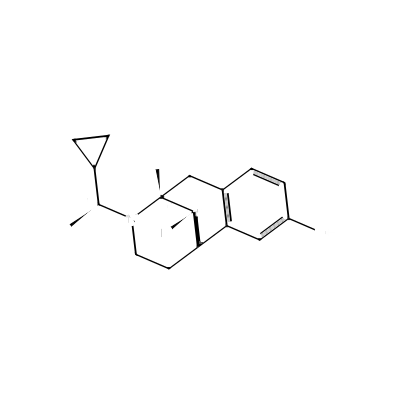 C[C@@H](C1CC1)N1CCC23CCCC[C@H]2[C@H]1Cc1ccc(O)cc13